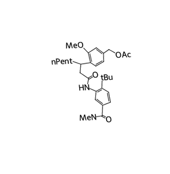 CCCCCC(CC(=O)Nc1cc(C(=O)NC)ccc1C(C)(C)C)c1ccc(COC(C)=O)cc1OC